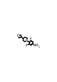 Nc1cc(F)c(N2CCC(C3COC3)CC2)c(F)c1